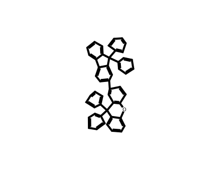 c1ccc(C2(c3ccccc3)c3ccccc3Oc3ccc(-c4ccc5c(c4)C(c4ccccc4)(c4ccccc4)c4ccccc4-5)cc32)cc1